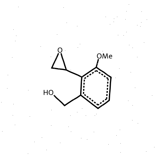 COc1cccc(CO)c1C1CO1